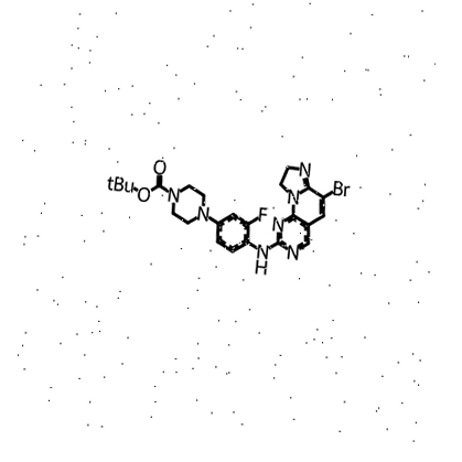 CC(C)(C)OC(=O)N1CCN(c2ccc(Nc3ncc4c(n3)N3CCN=C3C(Br)=C4)c(F)c2)CC1